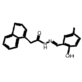 Cc1ccc(O)c(C=NNC(=O)Cc2cccc3ccccc23)c1